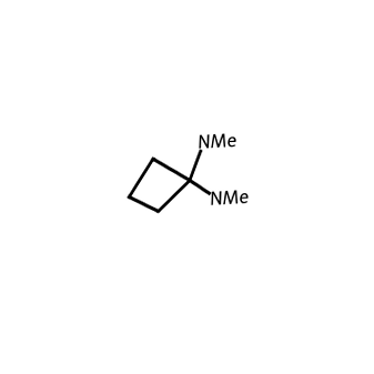 CNC1(NC)CCC1